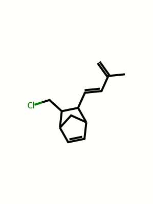 C=C(C)C=CC1C2C=CC(C2)C1CCl